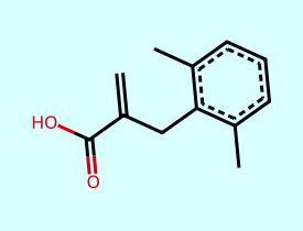 C=C(Cc1c(C)cccc1C)C(=O)O